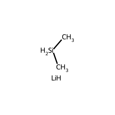 C[SiH2]C.[LiH]